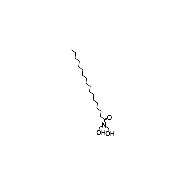 CCCCCCCCCCCCCCCCCC(=O)N(CO)CO